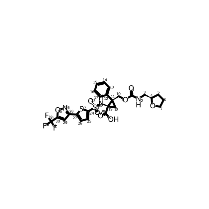 O=C(NC[C@H]1CCCO1)OC[C@@]1(c2ccccc2)C[C@]1(NS(=O)(=O)c1ccc(-c2cc(C(F)(F)F)on2)s1)C(=O)O